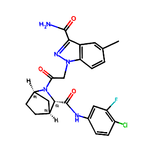 Cc1ccc2c(c1)c(C(N)=O)nn2CC(=O)N1[C@@H]2CC[C@@H](C2)[C@H]1C(=O)Nc1ccc(Cl)c(F)c1